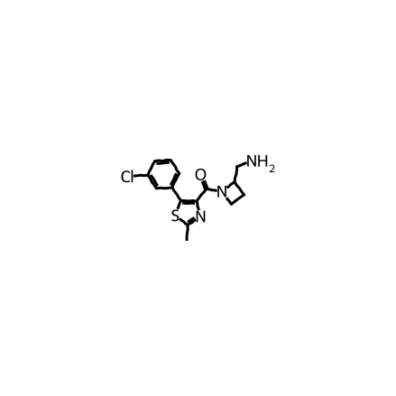 Cc1nc(C(=O)N2CCC2CN)c(-c2cccc(Cl)c2)s1